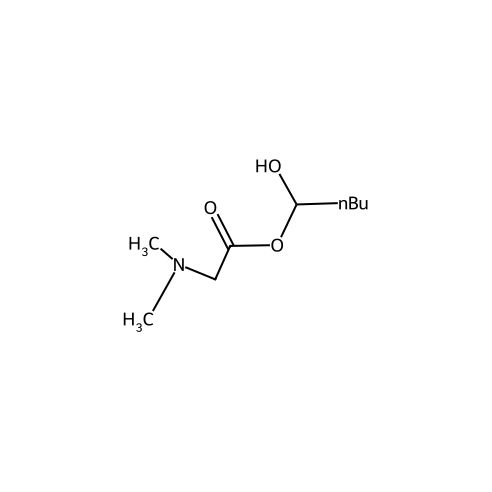 CCCCC(O)OC(=O)CN(C)C